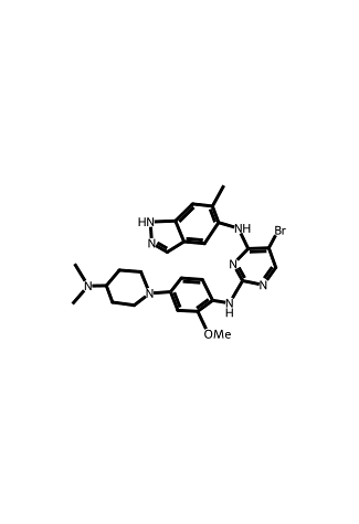 COc1cc(N2CCC(N(C)C)CC2)ccc1Nc1ncc(Br)c(Nc2cc3cn[nH]c3cc2C)n1